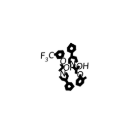 Cc1ccccc1OCC(O)CN1CC=C(c2ccccc2)CC1.OC(COc1cccc(C(F)(F)F)c1)CN1CC=C(c2ccccc2)CC1